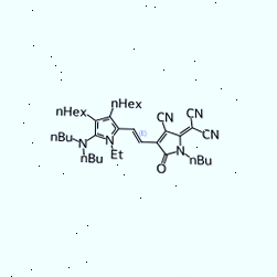 CCCCCCc1c(CCCCCC)c(N(CCCC)CCCC)n(CC)c1/C=C/C1=C(C#N)C(=C(C#N)C#N)N(CCCC)C1=O